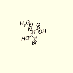 CON=C(C(=O)O)C(O)CBr